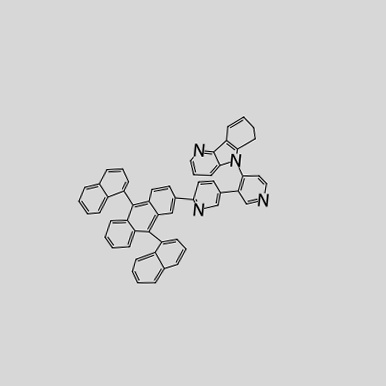 C1=Cc2c(n(-c3ccncc3-c3ccc(-c4ccc5c(-c6cccc7ccccc67)c6ccccc6c(-c6cccc7ccccc67)c5c4)nc3)c3cccnc23)CC1